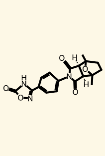 CC12CCC(C)(O1)[C@H]1C(=O)N(c3ccc(-c4noc(=O)[nH]4)cc3)C(=O)[C@H]12